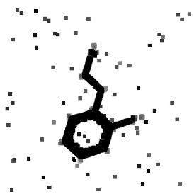 Fc1ccccc1CCBr